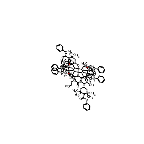 CC1(C)CC(OC(C2CC(C)(C)N(C(=O)Oc3ccccc3)C(C)(C)C2)(C2CC(C)(C)N(C(=O)Oc3ccccc3)C(C)(C)C2)C(C2CC(C)(C)N(C(=O)Oc3ccccc3)C(C)(C)C2)(C2CC(C)(C)N(C(=O)Oc3ccccc3)C(C)(C)C2)n2c(=O)n(CCO)c(=O)n(C(CO)C3CC(C)(C)N(C(=O)Oc4ccccc4)C(C)(C)C3)c2=O)CC(C)(C)N1C(=O)Oc1ccccc1